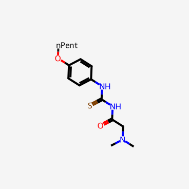 CCCCCOc1ccc(NC(=S)NC(=O)CN(C)C)cc1